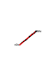 CCCCCCCCCCCCCCCCCCCCCCCCCCCCCCCCCCCCCCCCCNC